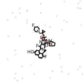 C#Cc1c(F)ccc2cc(O)cc(-c3ncc4c(N5CC6CCC(C5)N6C(=O)NC(=O)C(C)(C)C)nc(OCC5(CN6CCC(F)CC6)CC5)nc4c3F)c12